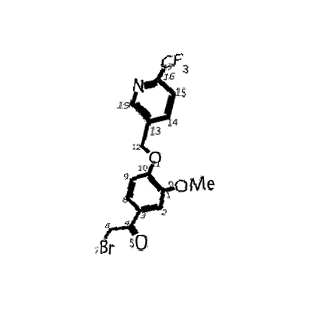 COc1cc(C(=O)CBr)ccc1OCc1ccc(C(F)(F)F)nc1